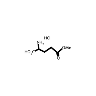 COC(=O)CCC(N)C(=O)O.Cl